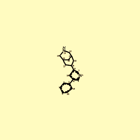 c1ccc(-c2cncc(C3CC4CNCC(C4)C3)c2)cc1